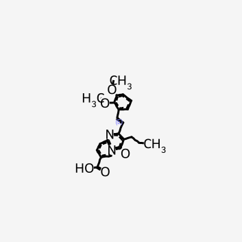 CCCc1c(/C=C/c2cccc(OC)c2OC)nc2ccc(C(=O)O)cn2c1=O